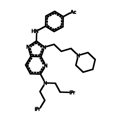 CC(=O)c1ccc(Nc2nc3ccc(N(CCC(C)C)CCC(C)C)nc3n2CCCN2CCCCC2)cc1